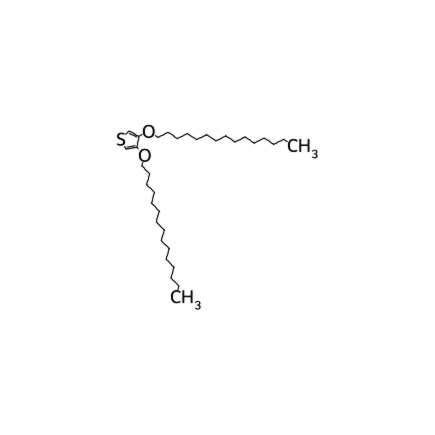 CCCCCCCCCCCCCCCOc1cscc1OCCCCCCCCCCCCCCC